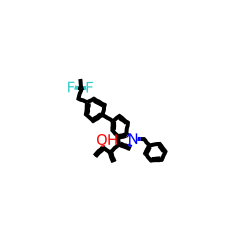 C=C(O)C(=C)c1cn(Cc2ccccc2)c2ccc(-c3ccc(CC(C)(F)F)cc3)cc12